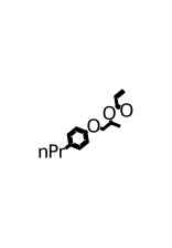 C=CC(=O)OC(C)COc1ccc(CCC)cc1